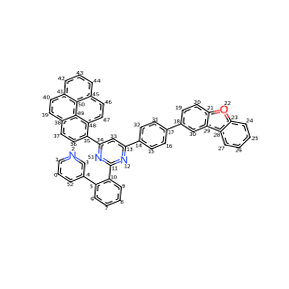 c1cncc(-c2ccccc2-c2nc(-c3ccc(-c4ccc5oc6ccccc6c5c4)cc3)cc(-c3ccc4ccc5cccc6ccc3c4c56)n2)c1